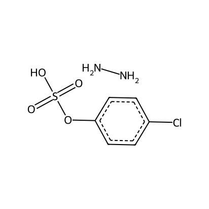 NN.O=S(=O)(O)Oc1ccc(Cl)cc1